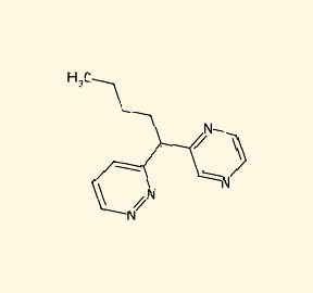 CCCC[C](c1cnccn1)c1cccnn1